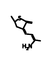 C=C1SC(C)C/C1=C/C=C(/C)N